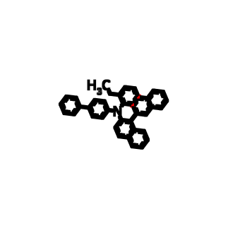 CCc1ccccc1N(c1ccc(-c2ccccc2)cc1)c1ccc2ccccc2c1-c1ccc2ccccc2c1